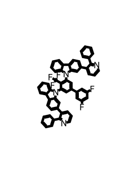 Fc1cc(F)cc(-c2cc(-n3c4ccccc4c4ccc(-c5cccnc5-c5ccccc5)cc43)c(C(F)(F)F)c(-n3c4ccccc4c4ccc(-c5cccnc5-c5ccccc5)cc43)c2)c1